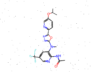 CC(=O)Nc1ncc(C(F)(F)F)cc1N(C)c1nnc(-c2ccc(OC(C)C)cn2)o1